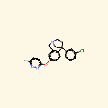 Cc1ccc(Oc2ccc3c(c2)CN2CCC3(c3cccc(Cl)c3)CC2)nn1